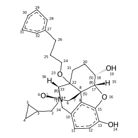 [O-][N@+]1(CC2CC2)CC[C@]23c4c5ccc(O)c4O[C@H]2[C@@H](O)CCC3(OCCCc2ccccc2)[C@H]1C5